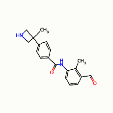 Cc1c(C=O)cccc1NC(=O)c1ccc(C2(C)CNC2)cc1